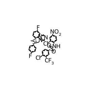 C[Si](Cn1cncn1)(c1ccc(F)cc1)c1ccc(F)cc1.O=[N+]([O-])c1ccc(NS(=O)(=O)c2ccc(Cl)c(C(F)(F)F)c2)c(Cl)c1